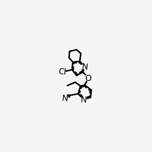 CCc1c(Oc2cc(Cl)c3c(n2)CCCC3)ccnc1C#N